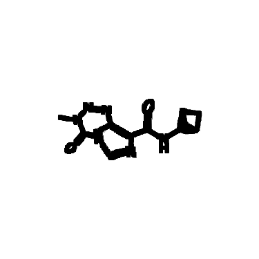 Cn1nnc2c(C(=O)NC3C4CC3C4)ncn2c1=O